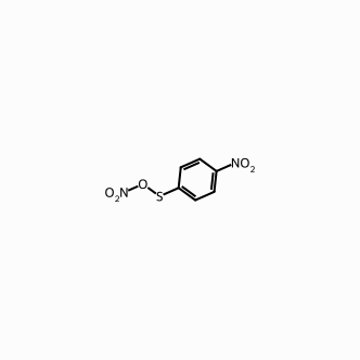 O=[N+]([O-])OSc1ccc([N+](=O)[O-])cc1